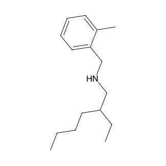 CCCCC(CC)CNCc1ccccc1C